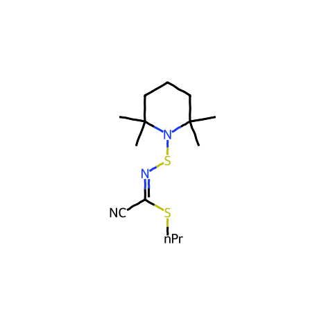 CCCSC(C#N)=NSN1C(C)(C)CCCC1(C)C